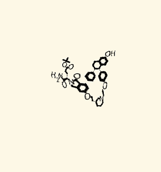 CC(C)(C)OC(=O)CC[C@@H](C(N)=O)N1Cc2cc(OCC[C@H]3CCCN(CCOc4ccc([C@H]5c6ccc(O)cc6CC[C@H]5c5ccccc5)cc4)C3)ccc2C1=O